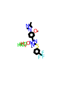 COc1cc(-c2nc(Sc3cccc(C(F)(F)F)c3)n(C)n2)ccc1-n1cnc(C)c1.Cl.Cl.O